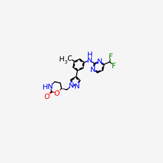 Cc1cc(Nc2nccc(C(F)F)n2)cc(-c2cnn(C[C@@H]3CCNC(=O)O3)c2)c1